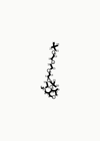 CC1COCC(CN(C)CCOCCOCCOCCOCC(C)(C)C)C1OC(C)(C)C